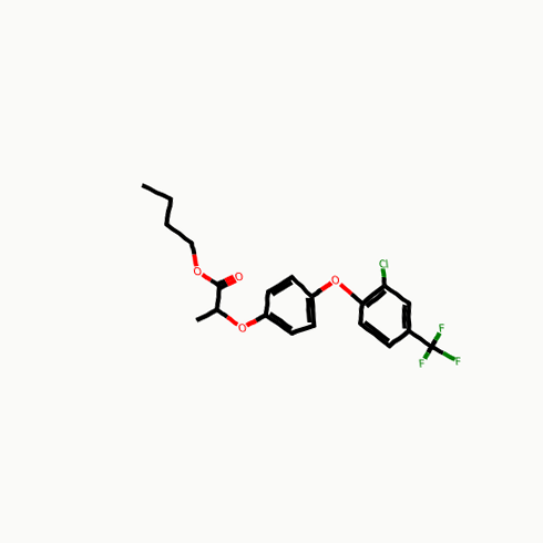 CCCCOC(=O)C(C)Oc1ccc(Oc2ccc(C(F)(F)F)cc2Cl)cc1